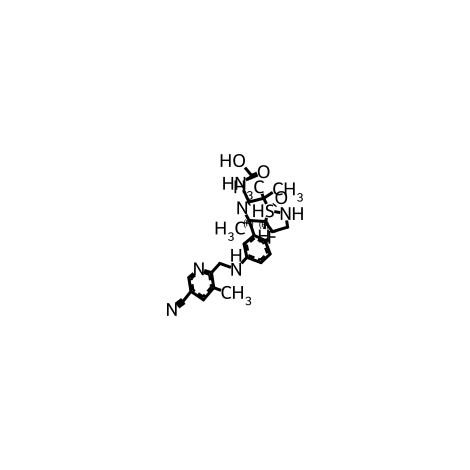 Cc1cc(C#N)cnc1CNc1ccc(F)c([C@@]2(C)N=C(NC(=O)O)C(C)(C)[SH]3(=O)NCC[C@H]23)c1